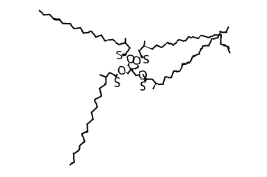 CCCCCCCCCCCCCCCCC(C)CC(=S)OCC(COC(=S)CC(C)CCCCCCCCCCCCCCCC)(COC(=S)CC(C)CCCCCCCCCCCCCCCC)COC(=S)CC(C)CCCCCCCCCCCCCCCC